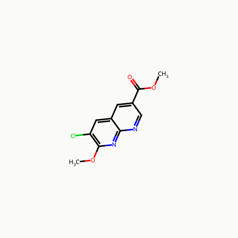 COC(=O)c1cnc2nc(OC)c(Cl)cc2c1